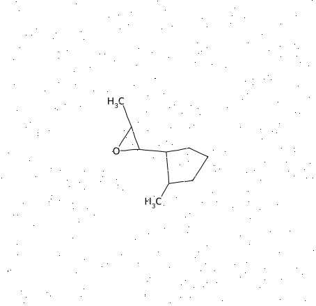 CC1CCCC1C1OC1C